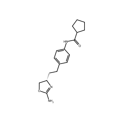 NC1=N[C@@H](CCc2ccc(NC(=O)C3CCCC3)cc2)CO1